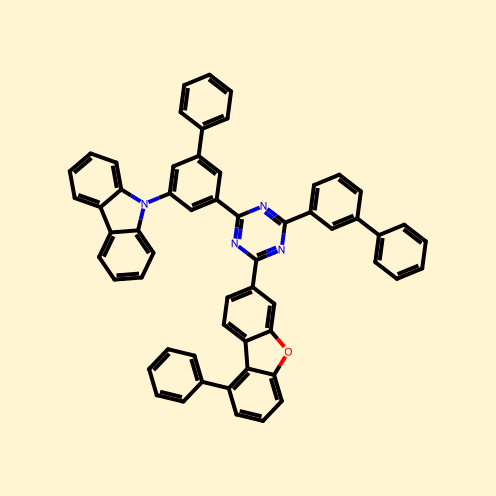 c1ccc(-c2cccc(-c3nc(-c4cc(-c5ccccc5)cc(-n5c6ccccc6c6ccccc65)c4)nc(-c4ccc5c(c4)oc4cccc(-c6ccccc6)c45)n3)c2)cc1